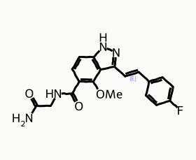 COc1c(C(=O)NCC(N)=O)ccc2[nH]nc(/C=C/c3ccc(F)cc3)c12